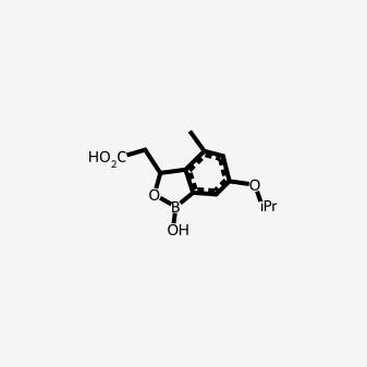 Cc1cc(OC(C)C)cc2c1C(CC(=O)O)OB2O